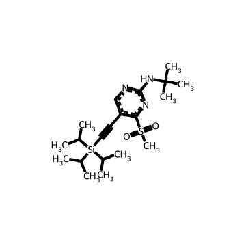 CC(C)[Si](C#Cc1cnc(NC(C)(C)C)nc1S(C)(=O)=O)(C(C)C)C(C)C